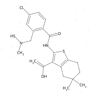 C=C(O)c1c(NC(=O)c2ccc(Cl)cc2CN(C)S)sc2c1CC(C)(C)CC2